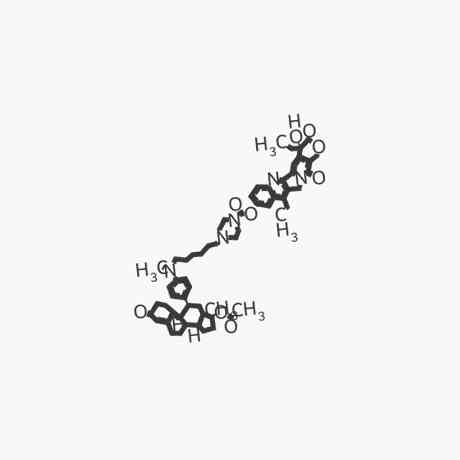 CCc1c2c(nc3ccc(OC(=O)N4CCN(CCCCCCN(C)c5ccc([C@H]6C[C@]7(C)[C@H](OC(C)=O)CC[C@H]7[C@@H]7CCC8=CC(=O)CCC8=C76)cc5)CC4)cc13)-c1cc3c(c(=O)n1C2)COC(=O)[C@]3(O)CC